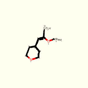 CCCCCOC(=CC1CCOCC1)C(=O)O